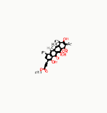 CCCCOC(=O)C#Cc1cc(C(C)C)c2c(c1O)C(=O)C1=C(O)[C@@]3(O)C(=O)C(C(C)=O)=C(O)C(C(C)C)[C@@]3(C)C[C@@]1(C)C2